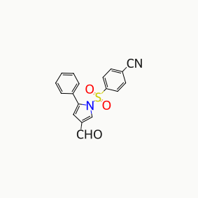 N#Cc1ccc(S(=O)(=O)n2cc(C=O)cc2-c2ccccc2)cc1